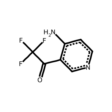 Nc1ccncc1C(=O)C(F)(F)F